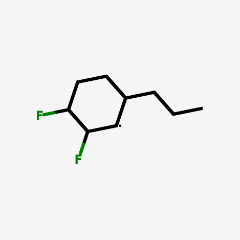 CCCC1[CH]C(F)C(F)CC1